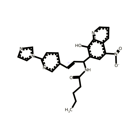 CCCCC(=O)NC(/C=C/c1ccc(-n2ccnc2)nc1)c1cc([N+](=O)[O-])c2cccnc2c1O